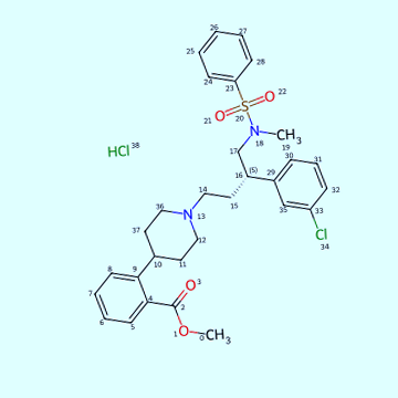 COC(=O)c1ccccc1C1CCN(CC[C@H](CN(C)S(=O)(=O)c2ccccc2)c2cccc(Cl)c2)CC1.Cl